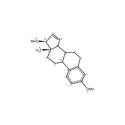 COc1ccc2c(c1)CCC1C2CC[C@@]2(C)C1C=C[C@@H]2OC